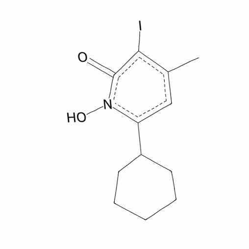 Cc1cc(C2CCCCC2)n(O)c(=O)c1I